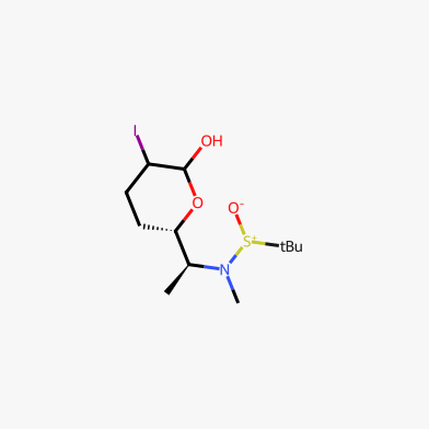 C[C@@H]([C@@H]1CCC(I)C(O)O1)N(C)[S+]([O-])C(C)(C)C